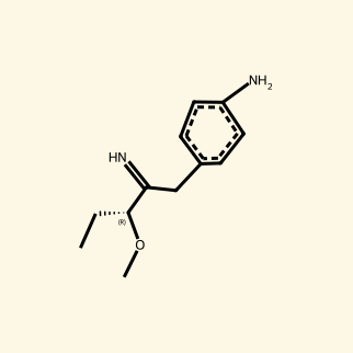 CC[C@@H](OC)C(=N)Cc1ccc(N)cc1